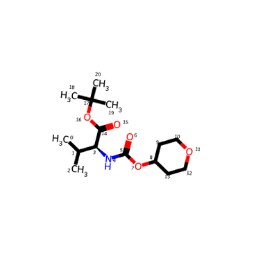 CC(C)[C@H](NC(=O)OC1CCOCC1)C(=O)OC(C)(C)C